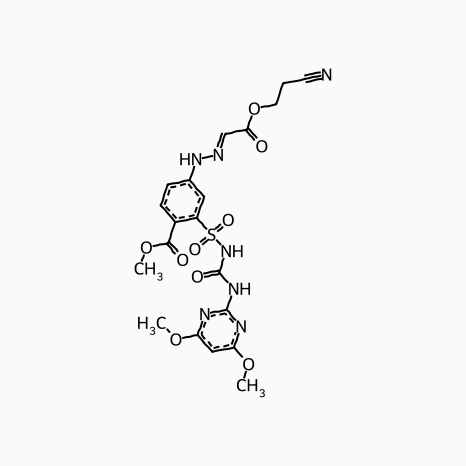 COC(=O)c1ccc(NN=CC(=O)OCCC#N)cc1S(=O)(=O)NC(=O)Nc1nc(OC)cc(OC)n1